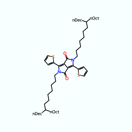 CCCCCCCCCCC(CCCCCCCC)CCCCCCCN1C(=O)C2=C(c3cccs3)N(CCCCCCCC(CCCCCCCC)CCCCCCCCCC)C(=O)C2=C1c1cccs1